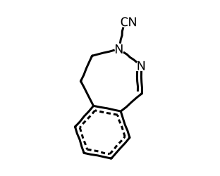 N#CN1CCc2ccccc2C=N1